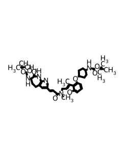 Cc1c(CN(C)C(=O)/C=C/c2cnc3c(c2)CCC(NC(=O)OC(C)(C)C)C(=O)N3)oc2cccc(OC3CCC(NC(=O)OC(C)(C)C)CC3)c12